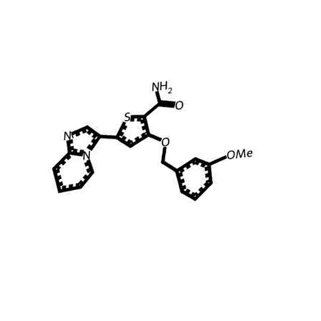 COc1cccc(COc2cc(-c3cnc4ccccn34)sc2C(N)=O)c1